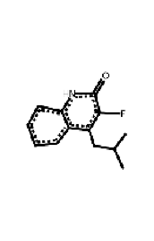 CC(C)Cc1c(F)c(=O)[nH]c2ccccc12